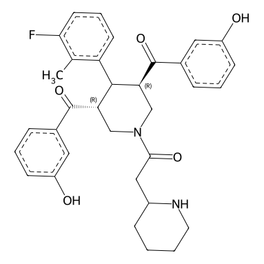 Cc1c(F)cccc1C1[C@@H](C(=O)c2cccc(O)c2)CN(C(=O)CC2CCCCN2)C[C@@H]1C(=O)c1cccc(O)c1